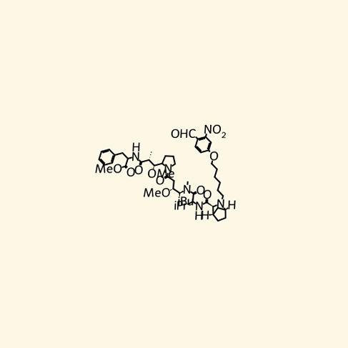 CC[C@H](C)[C@@H]([C@@H](CC(=O)N1CCCC1[C@H](OC)[C@@H](C)C(=O)NC(Cc1ccccc1)C(=O)OC)OC)N(C)C(=O)C(NC(=O)[C@@H]1[C@H]2CC[C@H](C2)N1CCCCCCOc1ccc(C=O)c([N+](=O)[O-])c1)C(C)C